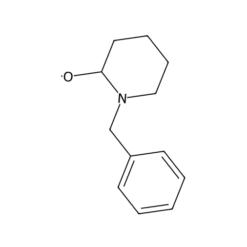 [O]C1CCCCN1Cc1ccccc1